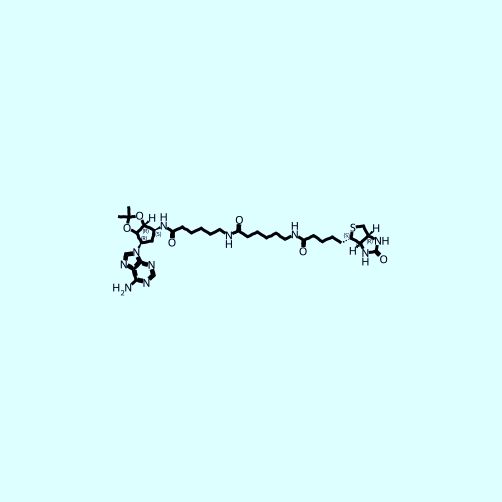 CC1(C)OC2[C@H](n3cnc4c(N)ncnc43)C[C@H](NC(=O)CCCCCNC(=O)CCCCCNC(=O)CCCC[C@@H]3SC[C@@H]4NC(=O)N[C@@H]43)[C@H]2O1